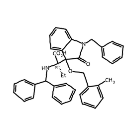 CC[C@](NC(c1ccccc1)c1ccccc1)(C(=O)O)C1(OCc2ccccc2C)C(=O)N(Cc2ccccc2)c2ccccc21